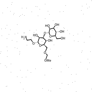 COCOC[C@H]1O[C@H](OCCN)[C@@H](O)[C@@H](O[C@H]2O[C@H](CO)[C@@H](O)[C@H](O)[C@@H]2O)[C@@H]1O